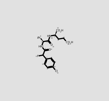 CC(C)[C@H](NC(=O)C(F)c1ccc(Cl)cc1)C(=O)N[C@H](CCC(=O)O)C(=O)O